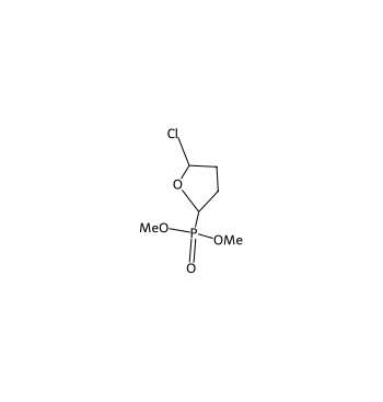 COP(=O)(OC)C1CCC(Cl)O1